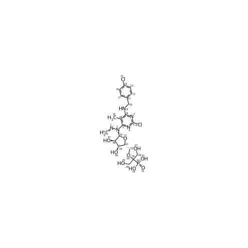 C=NN(c1nc(Cl)nc(NCc2ccc(Cl)cc2)c1C)[C@H]1O[C@H](COC(CO)(CO)P(=O)(O)O)[C@@H](O)[C@H]1O